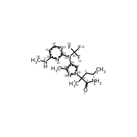 CCCC(C)(C(N)=O)n1cc(N(c2nccc(NC)n2)C(F)(F)F)c(C)n1